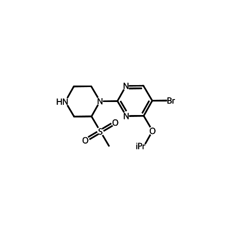 CC(C)Oc1nc(N2CCNCC2S(C)(=O)=O)ncc1Br